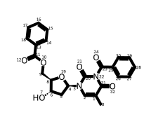 Cc1cn([C@H]2C[C@H](O)[C@@H](COC(=O)c3ccccc3)O2)c(=O)n(C(=O)c2ccccc2)c1=O